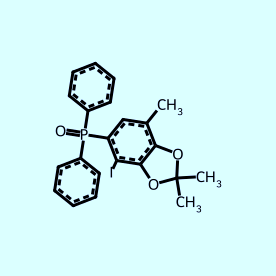 Cc1cc(P(=O)(c2ccccc2)c2ccccc2)c(I)c2c1OC(C)(C)O2